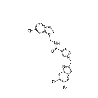 O=C(NCc1ncn2ccc(Cl)cc12)c1cnn(Cc2cn3cc(Br)c(Cl)cc3n2)c1